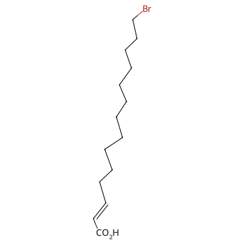 O=C(O)C=CCCCCCCCCCCCBr